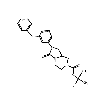 CC(C)(C)OC(=O)N1CCN2C(=O)N(c3cccc(Cc4ccccc4)c3)CC2C1